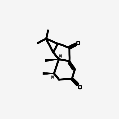 C[C@@H]1CC(=O)C=C2C(=O)C3C(C3(C)C)[C@]21C